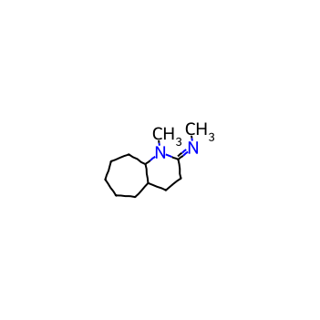 C/N=C1/CCC2CCCCCC2N1C